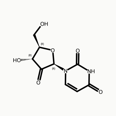 O=C1[C@H](n2ccc(=O)[nH]c2=O)O[C@H](CO)[C@H]1O